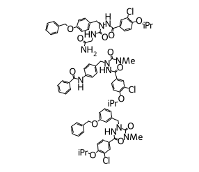 CC(C)Oc1ccc(C(=O)NN(Cc2ccc(OCc3ccccc3)cc2)C(=O)NCC(N)=O)cc1Cl.CNC(=O)N(Cc1ccc(NC(=O)c2ccccc2)cc1)NC(=O)c1ccc(OC(C)C)c(Cl)c1.CNC(=O)N(Cc1cccc(OCc2ccccc2)c1)NC(=O)c1ccc(OC(C)C)c(Cl)c1